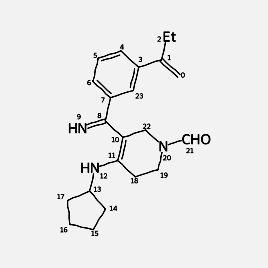 C=C(CC)c1cccc(C(=N)C2=C(NC3CCCC3)CCN(C=O)C2)c1